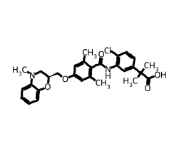 Cc1cc(OC[C@@H]2CN(C)c3ccccc3O2)cc(C)c1C(=O)Nc1cc(C(C)(C)C(=O)O)ccc1Cl